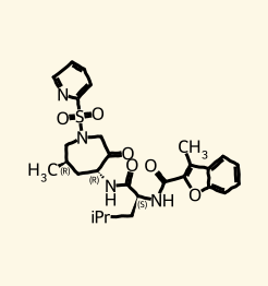 Cc1c(C(=O)N[C@@H](CC(C)C)C(=O)N[C@@H]2C[C@@H](C)CN(S(=O)(=O)c3ccccn3)CC2=O)oc2ccccc12